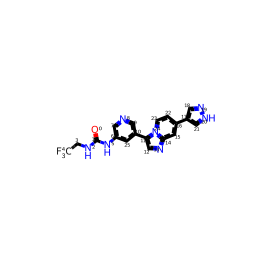 O=C(NCC(F)(F)F)Nc1cncc(-c2cnc3cc(-c4cn[nH]c4)ccn23)c1